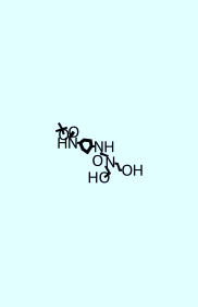 CC(C)(C)OC(=O)Nc1ccc(NC(=O)CN(CCO)CCO)cc1